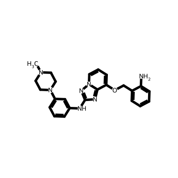 CN1CCN(c2cccc(Nc3nc4c(OCc5ccccc5N)cccn4n3)c2)CC1